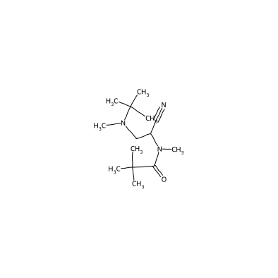 CN(C(=O)C(C)(C)C)C(C#N)CN(C)C(C)(C)C